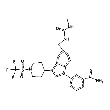 CNC(=O)NCc1ccc2c(-c3cccc(C(N)=S)c3)cn(C3CCN(S(=O)(=O)C(F)(F)F)CC3)c2c1